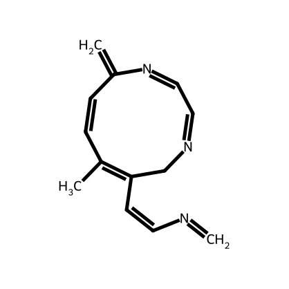 C=N\C=C/C1=C(C)/C=C\C(=C)/N=C\C=N/C1